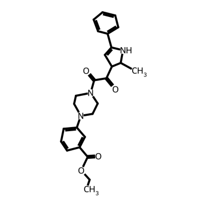 CCOC(=O)c1cccc(N2CCN(C(=O)C(=O)C3C=C(c4ccccc4)NC3C)CC2)c1